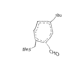 CSc1ccc(C(C)(C)C)cc1C=O